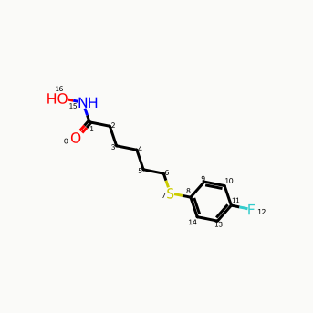 O=C(CCCCCSc1ccc(F)cc1)NO